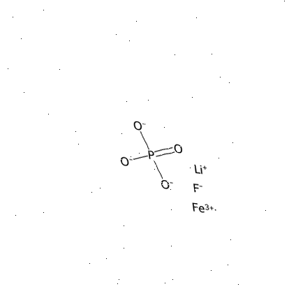 O=P([O-])([O-])[O-].[F-].[Fe+3].[Li+]